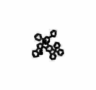 c1ccc(-c2cc(-c3ccccc3)nc(-c3cc4c(cc3-c3cccc5c3sc3ccccc35)-c3ccccc3C4(c3ccccc3)c3ccccc3)c2)cc1